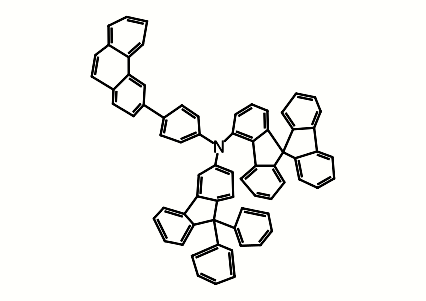 c1ccc(C2(c3ccccc3)c3ccccc3-c3cc(N(c4ccc(-c5ccc6ccc7ccccc7c6c5)cc4)c4cccc5c4-c4ccccc4C54c5ccccc5-c5ccccc54)ccc32)cc1